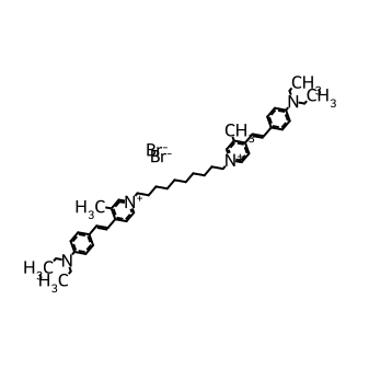 CCN(CC)c1ccc(/C=C/c2cc[n+](CCCCCCCCCC[n+]3ccc(/C=C/c4ccc(N(CC)CC)cc4)c(C)c3)cc2C)cc1.[Br-].[Br-]